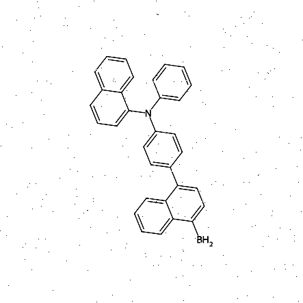 Bc1ccc(-c2ccc(N(c3ccccc3)c3cccc4ccccc34)cc2)c2ccccc12